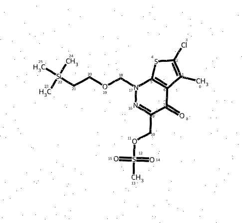 Cc1c(Cl)sc2c1c(=O)c(COS(C)(=O)=O)nn2COCC[Si](C)(C)C